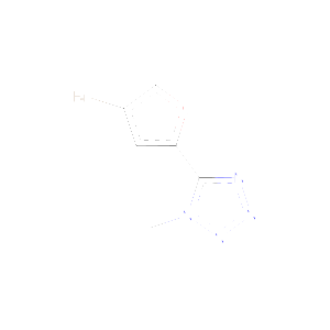 Cn1nnnc1-c1cc(Br)co1